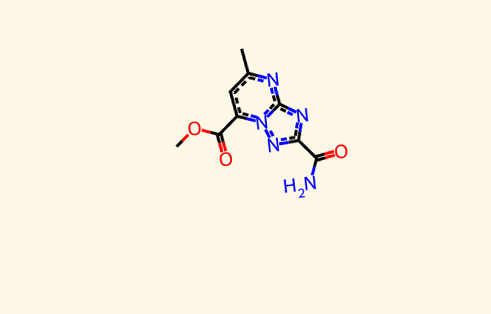 COC(=O)c1cc(C)nc2nc(C(N)=O)nn12